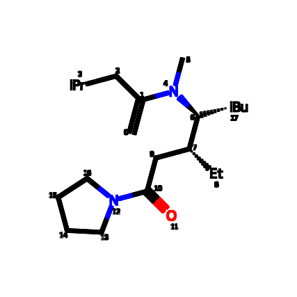 C=C(CC(C)C)N(C)[C@H]([C@H](CC)CC(=O)N1CCCC1)[C@@H](C)CC